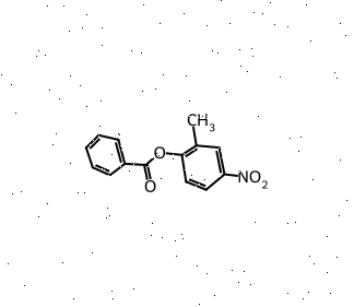 Cc1cc([N+](=O)[O-])ccc1OC(=O)c1ccccc1